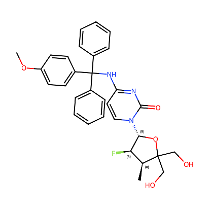 COc1ccc(C(Nc2ccn([C@@H]3OC(CO)(CO)[C@@H](C)[C@H]3F)c(=O)n2)(c2ccccc2)c2ccccc2)cc1